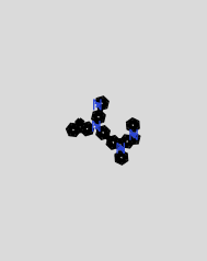 CC1(C)c2ccccc2-c2ccc(N(c3ccc(-c4ccc5c(c4)c4cc6c(ccn6-c6ccccc6)cc4n5-c4ccccc4)cc3)c3ccc(-c4ccccn4)cc3)cc21